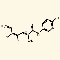 C=C/C(Cl)=C(F)\C=C(/C)C(=O)Nc1ccc(Cl)nc1